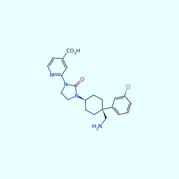 NC[C@]1(c2cccc(Cl)c2)CC[C@H](N2CCN(c3cc(C(=O)O)ccn3)C2=O)CC1